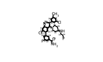 Cc1cc(Cl)cc(-c2nnc3cc(Cl)c(-c4cc(F)cc(C(N)=O)c4)cc3c2N2CCC(NCCF)CC2)c1